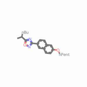 CCCCCOc1ccc2cc(-c3noc(C(C)CCCC)n3)ccc2c1